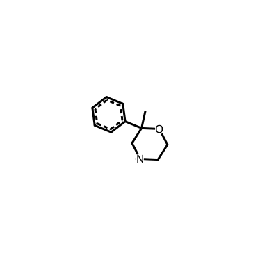 CC1(c2ccccc2)C[N]CCO1